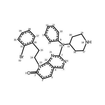 O=c1ccc2cnc(N(c3ccccc3)C3CCNCC3)nc2n1CCc1ccccc1Br